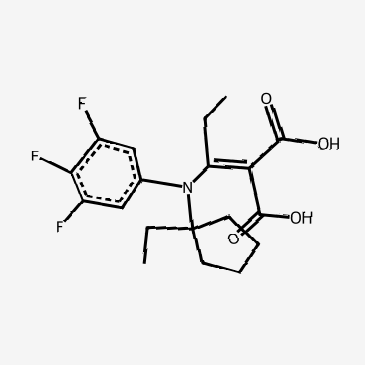 CCC(=C(C(=O)O)C(=O)O)N(c1cc(F)c(F)c(F)c1)C1(CC)CCCC1